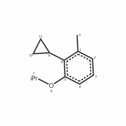 Cc1cccc(OC(C)C)c1C1CC1